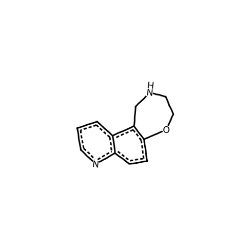 c1cnc2ccc3c(c2c1)CNCCO3